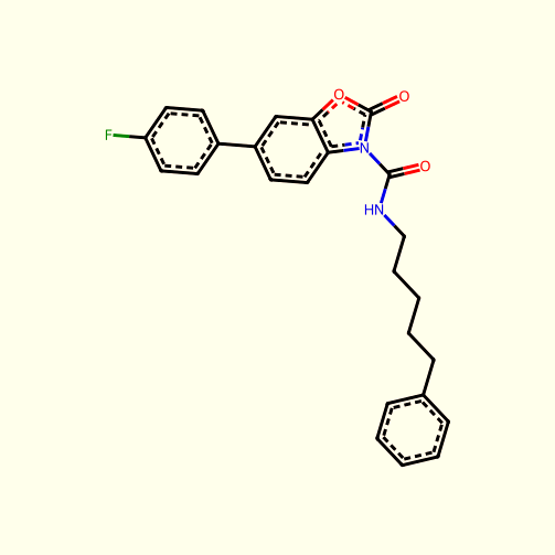 O=C(NCCCCCc1ccccc1)n1c(=O)oc2cc(-c3ccc(F)cc3)ccc21